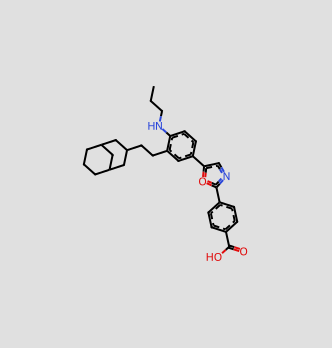 CCCNc1ccc(-c2cnc(-c3ccc(C(=O)O)cc3)o2)cc1CCC1CC2CCCC(C2)C1